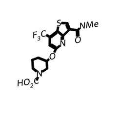 CNC(=O)c1csc2c(C(F)(F)F)cc(OC3CCCN(C(=O)O)C3)nc12